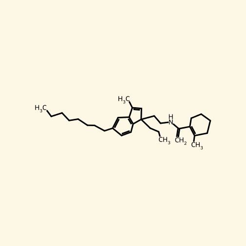 C=C(NCCC1(CCC)C=C(C)c2cc(CCCCCCCC)ccc21)C1=C(C)CCCC1